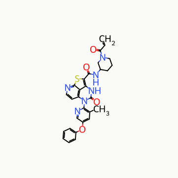 C=CC(=O)N1CCCC(NC(=O)c2sc3nccc4c3c2NC(=O)N4c2ncc(Oc3ccccc3)cc2C)C1